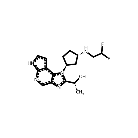 C[C@@H](O)c1nc2cnc3[nH]ccc3c2n1[C@H]1CC[C@H](NCC(F)F)C1